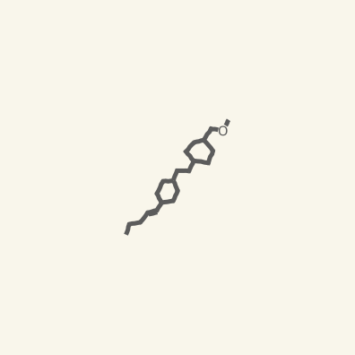 CCC/C=C/C1CCC(CCC2CCC(COC)CC2)CC1